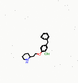 Cl.c1ccc(Cc2ccc(OCCC3CCCCN3)cc2)cc1